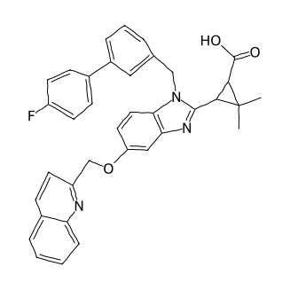 CC1(C)C(C(=O)O)C1c1nc2cc(OCc3ccc4ccccc4n3)ccc2n1Cc1cccc(-c2ccc(F)cc2)c1